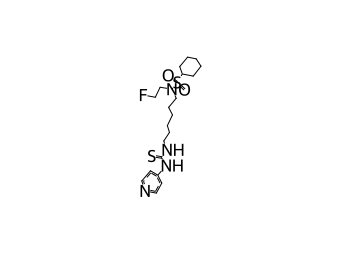 O=S(=O)(C1CCCCC1)N(CCF)CCCCCCNC(=S)Nc1ccncc1